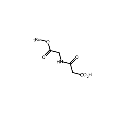 CC(C)(C)OC(=O)CNC(=O)CC(=O)O